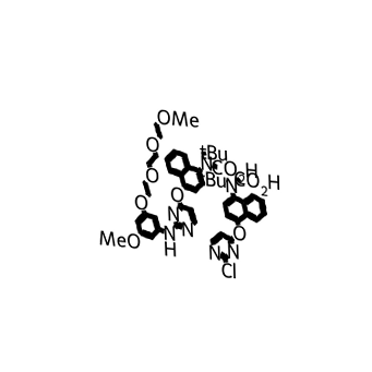 CC(C)(C)N(C(=O)O)c1ccc(Oc2ccnc(Cl)n2)c2ccccc12.COCCOCCOCCOc1cc(Nc2nccc(Oc3ccc(N(C(=O)O)C(C)(C)C)c4ccccc34)n2)cc(OC)c1